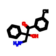 N#Cc1cccc(C(=O)C(O)(CN)c2ccccc2)c1